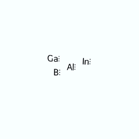 [Al].[B].[Ga].[In]